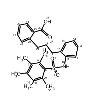 Cc1c(C)c(C)c(S(=O)(=O)Nc2ccccc2CCCc2ccccc2C(=O)O)c(C)c1C